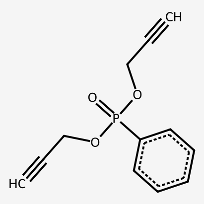 C#CCOP(=O)(OCC#C)c1ccccc1